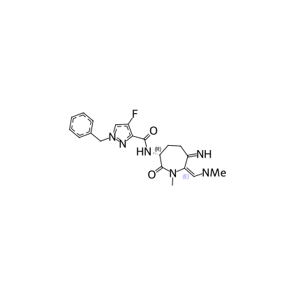 CN/C=C1\C(=N)CC[C@@H](NC(=O)c2nn(Cc3ccccc3)cc2F)C(=O)N1C